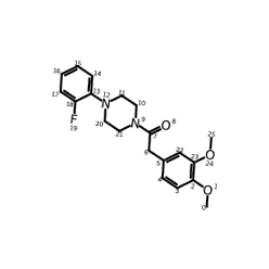 COc1ccc(CC(=O)N2CCN(c3ccccc3F)CC2)cc1OC